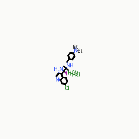 CCN(CC)c1ccc(CNC(C)(C)C(N)(I)c2ccnc3cc(Cl)ccc23)cc1.Cl.Cl.Cl